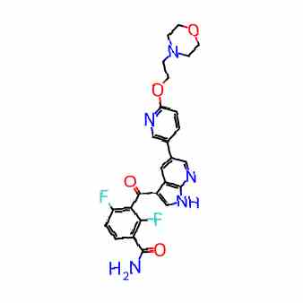 NC(=O)c1ccc(F)c(C(=O)c2c[nH]c3ncc(-c4ccc(OCCN5CCOCC5)nc4)cc23)c1F